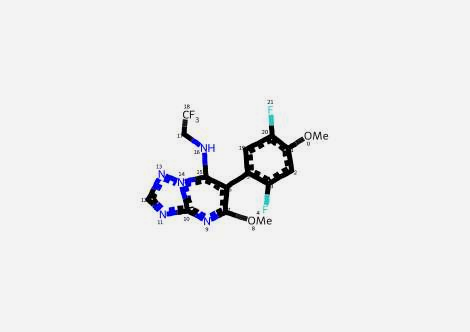 COc1cc(F)c(-c2c(OC)nc3ncnn3c2NCC(F)(F)F)cc1F